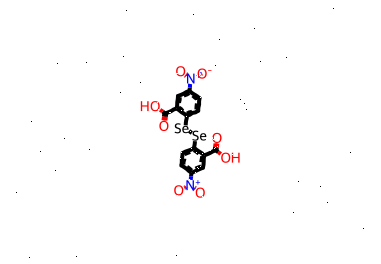 O=C(O)c1cc([N+](=O)[O-])ccc1[Se][Se]c1ccc([N+](=O)[O-])cc1C(=O)O